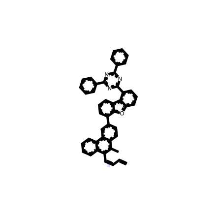 C=C/C=C\c1c(C)c2ccc(-c3cccc4c3oc3cccc(-c5nc(-c6ccccc6)nc(-c6ccccc6)n5)c34)cc2c2ccccc12